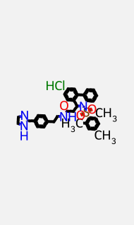 Cc1cc(C)c(S(=O)(=O)N2c3ccccc3-c3ccccc3C2CC(=O)NCCc2ccc(C3=NCCN3)cc2)c(C)c1.Cl